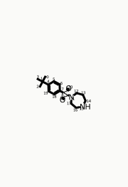 CC(C)(C)c1ccc(S(=O)(=O)N2CCCNCC2)cc1